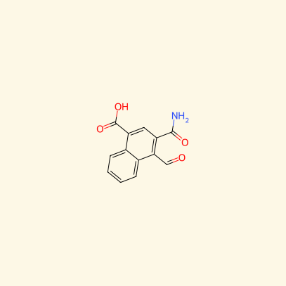 NC(=O)c1cc(C(=O)O)c2ccccc2c1C=O